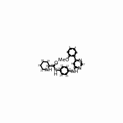 COc1ccccc1-c1cc(Nc2ccc(NC(=O)C3CCCCN3)cc2)ncn1